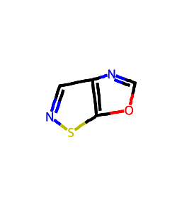 c1nc2cnsc2o1